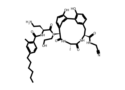 CCCCCCc1ccc(C(=O)N[C@@H](CCN)C(=O)N(CCO)[C@@H]2C(=O)N[C@@H](C)C(=O)N[C@H](C(=O)NCC#N)Cc3ccc(O)c(c3)-c3cc2ccc3O)c(C)c1